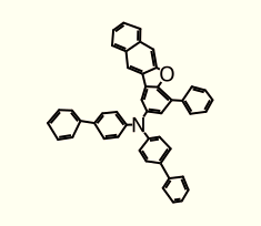 c1ccc(-c2ccc(N(c3ccc(-c4ccccc4)cc3)c3cc(-c4ccccc4)c4oc5cc6ccccc6cc5c4c3)cc2)cc1